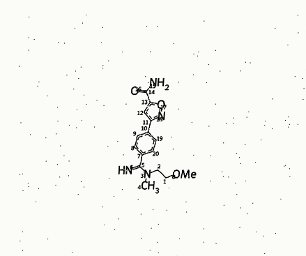 COCCN(C)C(=N)c1ccc(-c2cc(C(N)=O)on2)cc1